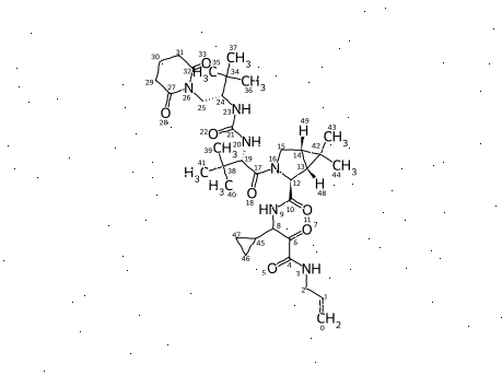 C=CCNC(=O)C(=O)C(NC(=O)[C@@H]1[C@@H]2[C@H](CN1C(=O)[C@@H](NC(=O)N[C@H](CN1C(=O)CCCC1=O)C(C)(C)C)C(C)(C)C)C2(C)C)C1CC1